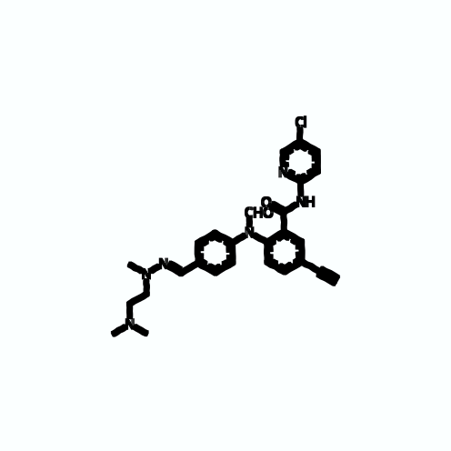 C#Cc1ccc(N(C=O)c2ccc(C=NN(C)CCN(C)C)cc2)c(C(=O)Nc2ccc(Cl)cn2)c1